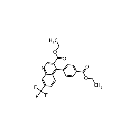 CCOC(=O)c1ccc(-c2c(C(=O)OCC)cnc3cc(C(F)(F)F)ccc23)cc1